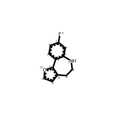 Fc1ccc2c(c1)NCCc1ccoc1-2